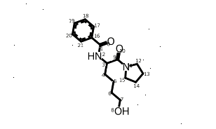 O=C(NC(CCCCO)C(=O)N1CCCC1)c1ccccc1